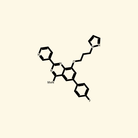 CNc1nc(-c2cccnc2)nc2c(OCCCn3cccn3)cc(-c3ccc(F)cc3)cc12